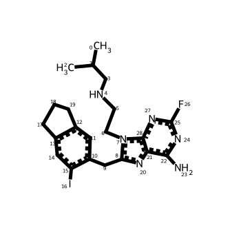 CC(C)CNCCn1c(Cc2cc3c(cc2I)CCC3)nc2c(N)nc(F)nc21